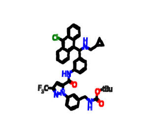 CC(C)(C)OC(=O)NCc1cccc(-n2nc(C(F)(F)F)cc2C(=O)Nc2cccc(C(NCC3CC3)c3c4ccccc4c(Cl)c4ccccc34)c2)c1